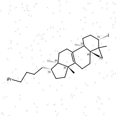 CC(C)CCCC[C@H]1CC[C@@]2(C)C3=C(CC[C@]12C)[C@@]1(C)CC[C@H](I)C(C)(C)[C@@H]1CC3